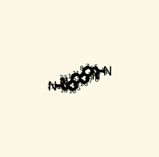 Cn1c(C#N)cc2ccc3c4ccc5c(ccc6cc(C#N)n(C)c65)c4ccc3c21